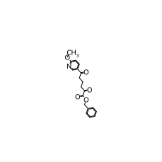 COc1ccc(C(=O)CCCC(=O)C(=O)OCc2ccccc2)cn1